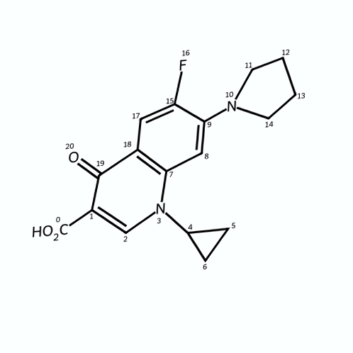 O=C(O)c1cn(C2CC2)c2cc(N3CCCC3)c(F)cc2c1=O